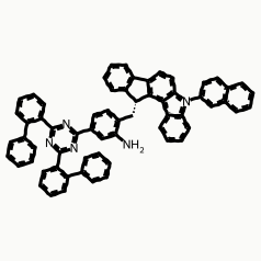 Nc1cc(-c2nc(-c3ccccc3-c3ccccc3)nc(-c3ccccc3-c3ccccc3)n2)ccc1C[C@@H]1c2ccccc2-c2ccc3c(c21)c1ccccc1n3-c1ccc2ccccc2c1